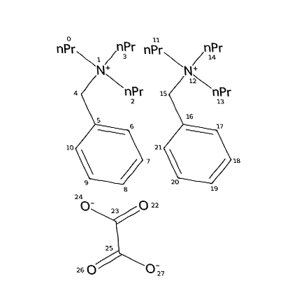 CCC[N+](CCC)(CCC)Cc1ccccc1.CCC[N+](CCC)(CCC)Cc1ccccc1.O=C([O-])C(=O)[O-]